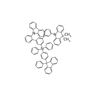 CC1(C)c2ccccc2N(c2cccc(-c3cc(-c4ccccc4-n4c5ccccc5c5ccccc54)cc([Si](c4ccccc4)(c4ccccc4)c4ccc(C5(c6ccccc6)c6ccccc6-c6ccccc65)cc4)c3)c2)c2ccccc21